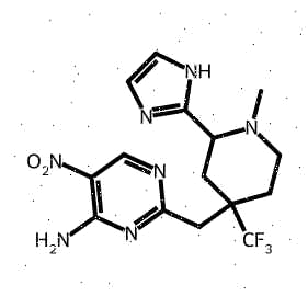 CN1CCC(Cc2ncc([N+](=O)[O-])c(N)n2)(C(F)(F)F)CC1c1ncc[nH]1